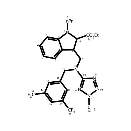 CCCN1c2ccccc2C(CN(Cc2cc(C(F)(F)F)cc(C(F)(F)F)c2)c2nnn(C)n2)C1C(=O)OCC